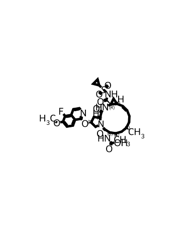 COc1ccc2c(O[C@@H]3C[C@H]4C(=O)N[C@]5(C(=O)NS(=O)(=O)C6CC6)C[C@H]5C=CCC[C@H](C)C[C@@H](C)[C@H](NC(=O)O)C(=O)N4C3)nccc2c1F